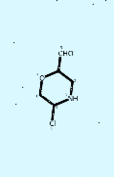 O=CC1CNC(Cl)CO1